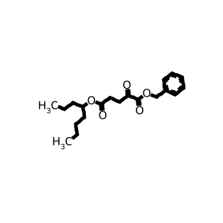 CCCCC(CCC)OC(=O)CCC(=O)C(=O)OCc1ccccc1